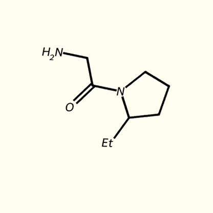 CCC1CCCN1C(=O)CN